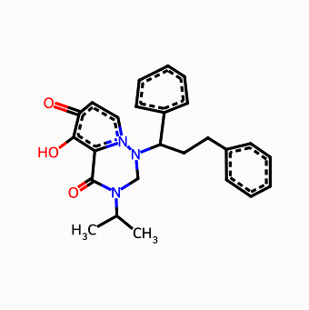 CC(C)N1CN(C(CCc2ccccc2)c2ccccc2)n2ccc(=O)c(O)c2C1=O